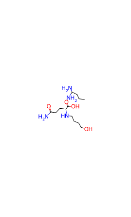 CCCC(N)N.NC(=O)CC[C@H](NCCCCO)C(=O)O